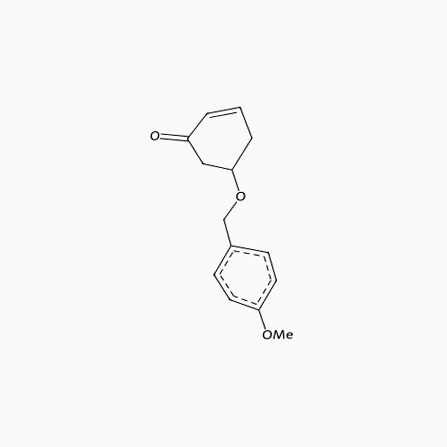 COc1ccc(COC2CC=CC(=O)C2)cc1